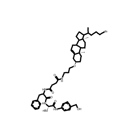 CCCC[C@H](NC(=O)C(Cc1ccccc1)NC(=O)CCC(=O)NCCCO[C@H]1CC[C@@]2(C)C(=CCC3C4CCC(C(C)CCCC(C)C)[C@@]4(C)CCC32)C1)C(=O)Nc1ccc(CO)cc1